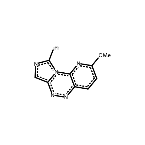 COc1ccc2nnc3cnc(C(C)C)n3c2n1